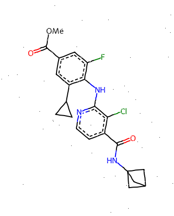 COC(=O)c1cc(F)c(Nc2nccc(C(=O)NC34CC(C3)C4)c2Cl)c(C2CC2)c1